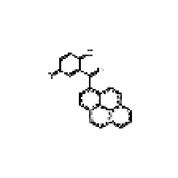 O=C1C=CC(=O)C(C(=O)c2ccc3ccc4cccc5ccc2c3c45)=C1